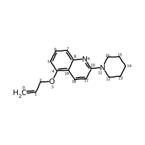 C=CCOc1cccc2nc(N3CCCCC3)ccc12